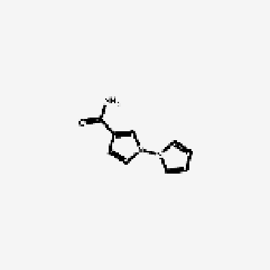 NC(=O)c1ccn(-n2cccc2)c1